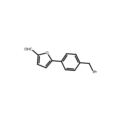 CC(C)Cc1ccc(-c2ccc([C]=O)o2)cc1